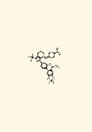 C[C@@H](Oc1cc(-n2nc(C(F)(F)F)c3c2C(OC2CCC(C(=O)O)CC2)CCC3)ccn1)c1cc2c(cn1)OC(F)(F)O2